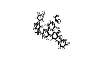 C=CC(=O)N1C[C@H](C)N(c2nc(Nc3cnn(C4CCN(C)C4)c3)ncc2-c2ccc(Oc3nccc(C)n3)c(F)c2)C[C@H]1C